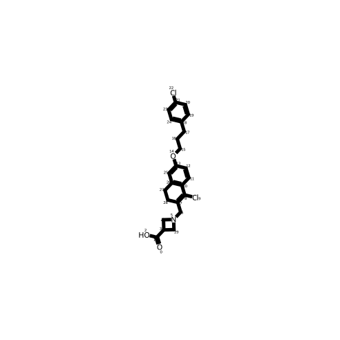 O=C(O)C1CN(CC2=C(Cl)c3ccc(OCCCc4ccc(Cl)cc4)cc3CC2)C1